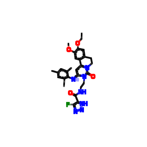 CCOc1cc2c(cc1OC)-c1c/c(=N\c3c(C)cc(C)cc3C)n(CCNC(=O)c3[nH]nnc3F)c(=O)n1CC2